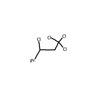 CC(C)C(Cl)CC(Cl)(Cl)Cl